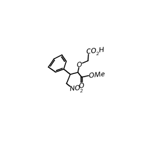 COC(=O)C(OCC(=O)O)C(C[N+](=O)[O-])c1ccccc1